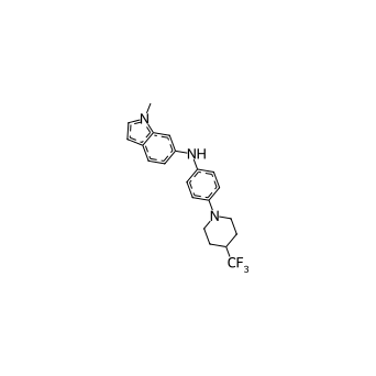 Cn1ccc2ccc(Nc3ccc(N4CCC(C(F)(F)F)CC4)cc3)cc21